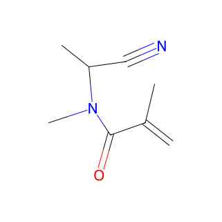 C=C(C)C(=O)N(C)C(C)C#N